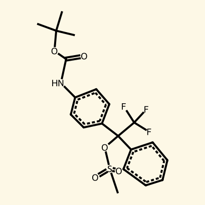 CC(C)(C)OC(=O)Nc1ccc(C(OS(C)(=O)=O)(c2ccccc2)C(F)(F)F)cc1